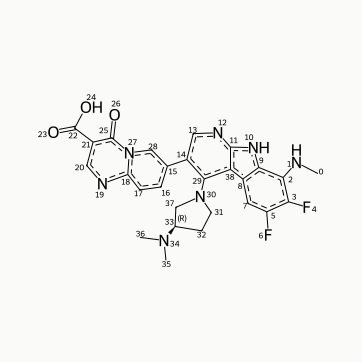 CNc1c(F)c(F)cc2c1[nH]c1ncc(-c3ccc4ncc(C(=O)O)c(=O)n4c3)c(N3CC[C@@H](N(C)C)C3)c12